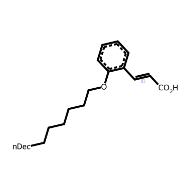 CCCCCCCCCCCCCCCCOc1ccccc1/C=C/C(=O)O